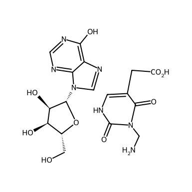 NCn1c(=O)[nH]cc(CC(=O)O)c1=O.OC[C@H]1O[C@@H](n2cnc3c(O)ncnc32)[C@H](O)[C@@H]1O